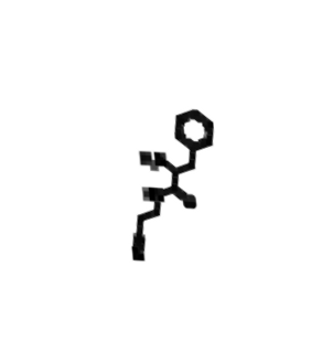 N#CCCNC(=O)C(N)Cc1ccccc1